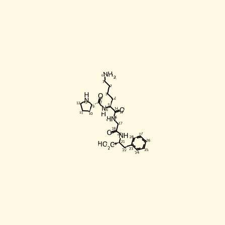 NCCCC[C@H](NC(=O)[C@@H]1CCCN1)C(=O)NCC(=O)N[C@@H](Cc1ccccc1)C(=O)O